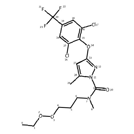 CCOOCCCN(C)C(=O)n1nc(Oc2c(Cl)cc(C(F)(F)F)cc2Cl)cc1C